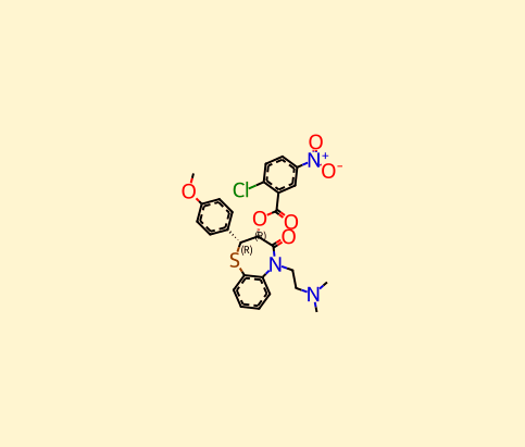 COc1ccc([C@H]2Sc3ccccc3N(CCN(C)C)C(=O)[C@H]2OC(=O)c2cc([N+](=O)[O-])ccc2Cl)cc1